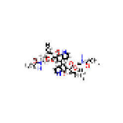 C=CC(=O)NCCOC(=O)C(CC(C)C)C1=C/C(=C2/C=C(C(CC(C)C)C(=O)OCCNC(=O)C=C)C(=O)c3ncccc32)c2cccnc2C1=O